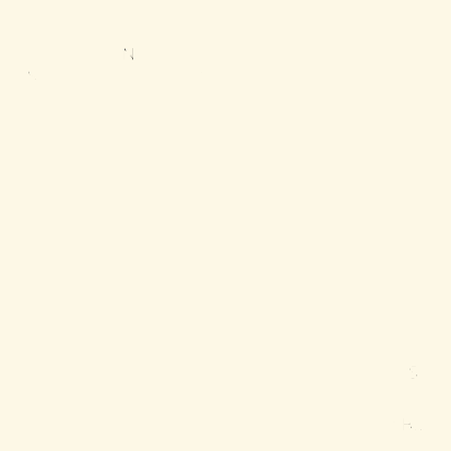 CCCCSc1ccc(C#Cc2cc(F)c(N=C=S)c(F)c2)cc1